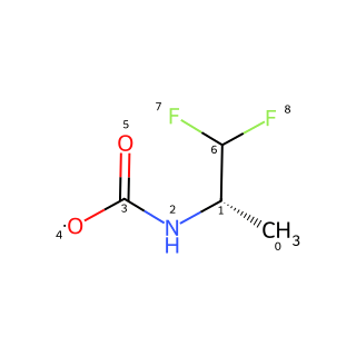 C[C@H](NC([O])=O)C(F)F